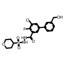 O=C(NNS(=O)(=O)C1CCOCC1)c1cc(-c2cccc(CO)c2)cc(Cl)c1F